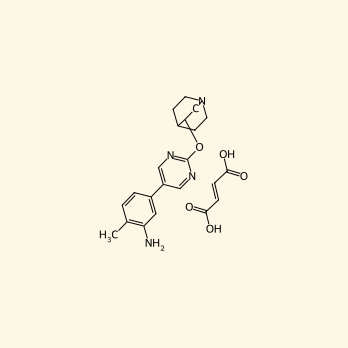 Cc1ccc(-c2cnc(OC3CN4CCC3CC4)nc2)cc1N.O=C(O)C=CC(=O)O